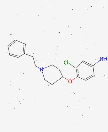 Nc1ccc(OC2CCN(CCc3ccccc3)CC2)c(Cl)c1